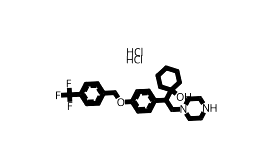 Cl.Cl.OC1(C(CN2CCNCC2)c2ccc(OCc3ccc(C(F)(F)F)cc3)cc2)CCCCC1